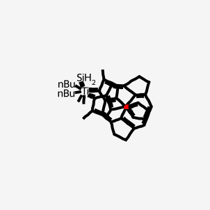 CCC[CH2][Ti]([CH3])([CH3])(=[SiH2])([CH2]CCC)(=[C]1C(C)=Cc2c1cc1c3c(cccc23)CC1)=[C]1C(C)=Cc2c1cc1c3c(cccc23)CC1